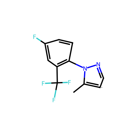 Cc1[c]cnn1-c1ccc(F)cc1C(F)(F)F